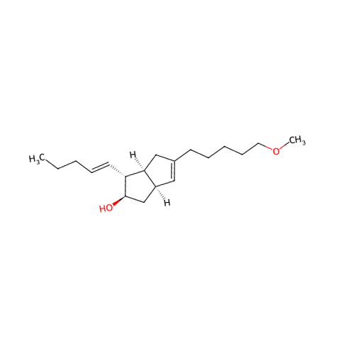 CCC/C=C/[C@@H]1[C@H]2CC(CCCCCOC)=C[C@H]2C[C@H]1O